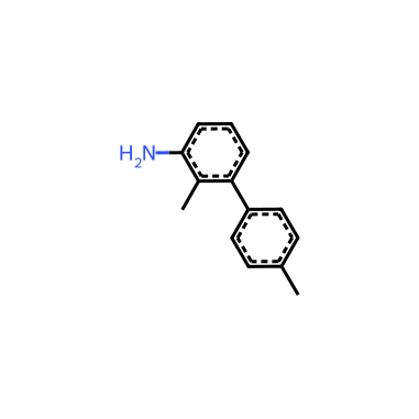 Cc1ccc(-c2cccc(N)c2C)cc1